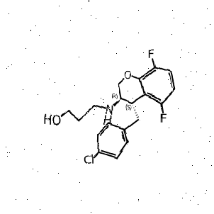 OCCCN[C@H]1COc2c(F)ccc(F)c2[C@@H]1Cc1ccc(Cl)cc1